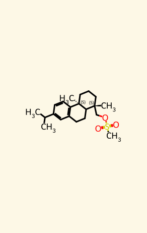 CC(C)c1ccc2c(c1)CCC1[C@@](C)(COS(C)(=O)=O)CCC[C@]21C